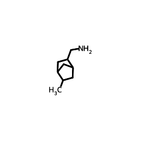 CC1CC2CC1CC2CN